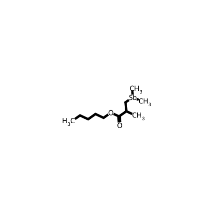 CCCCCOC(=O)C(C)[CH2][Sb]([CH3])[CH3]